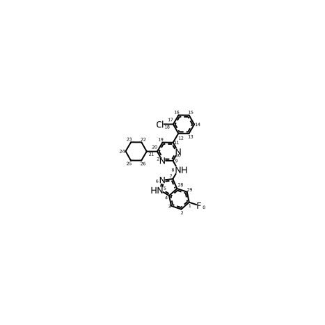 Fc1ccc2[nH]nc(Nc3nc(-c4ccccc4Cl)cc(C4CCCCC4)n3)c2c1